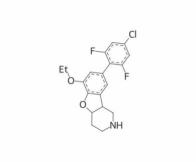 CCOc1cc(-c2c(F)cc(Cl)cc2F)cc2c1OC1CCNCC21